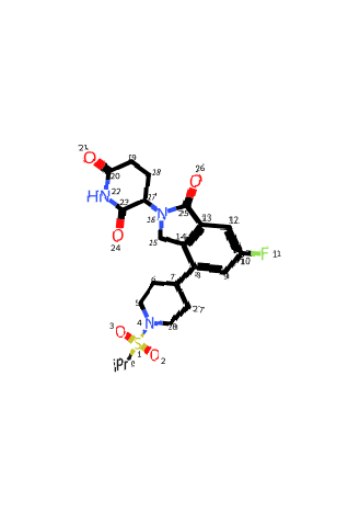 CC(C)S(=O)(=O)N1CCC(c2cc(F)cc3c2CN(C2CCC(=O)NC2=O)C3=O)CC1